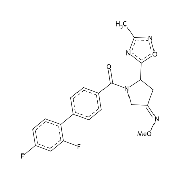 CON=C1CC(c2nc(C)no2)N(C(=O)c2ccc(-c3ccc(F)cc3F)cc2)C1